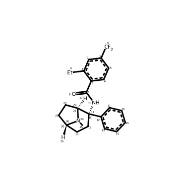 CCc1cc(C(F)(F)F)ccc1C(=O)N[C@]1(c2ccccc2)CC[C@@H]2CC[C@@H]1N2C